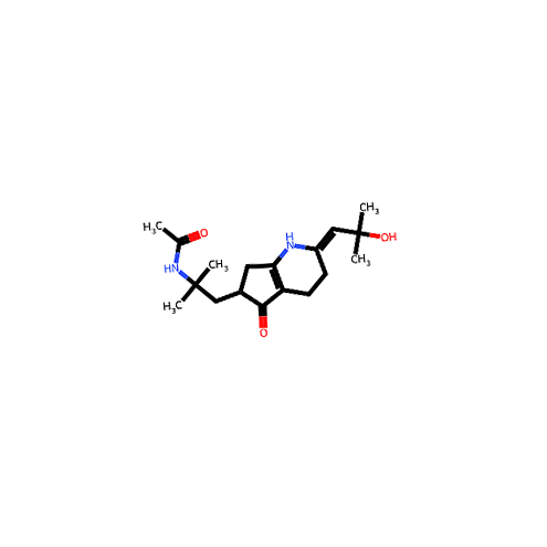 CC(=O)NC(C)(C)CC1CC2=C(CCC(=CC(C)(C)O)N2)C1=O